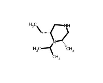 CC[C@@H]1CNC[C@H](C)N1C(C)C